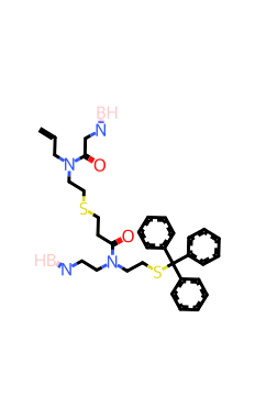 B=NCCN(CCSC(c1ccccc1)(c1ccccc1)c1ccccc1)C(=O)CCSCCN(CC=C)C(=O)CN=B